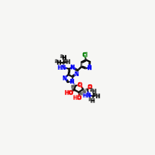 [2H]C([2H])([2H])NC(=O)[C@H]1O[C@@H](n2cnc3c(NC([2H])([2H])[2H])nc(-c4cncc(Cl)c4)nc32)[C@H](O)[C@@H]1O